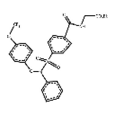 CCOC(=O)CNC(=O)c1ccc(S(=O)(=O)N(Oc2ccc(OC(F)(F)F)cc2)c2ccccc2)cc1